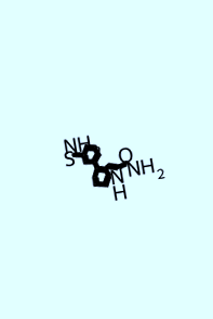 NC(=O)c1cc2c(-c3cccc(C(N)=S)c3)cccc2[nH]1